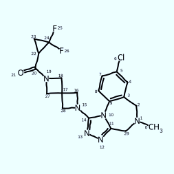 CN1Cc2cc(Cl)ccc2-n2c(nnc2N2CC3(CN(C(=O)C4CC4(F)F)C3)C2)C1